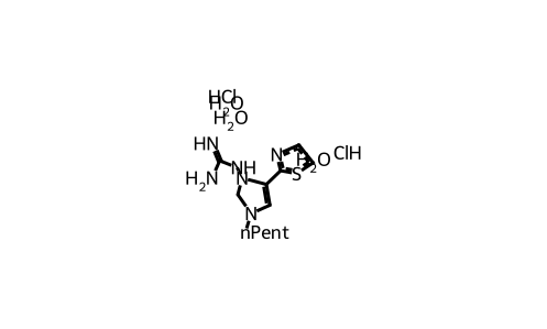 CCCCCN1C=C(c2nccs2)N(NC(=N)N)C1.Cl.Cl.O.O.O